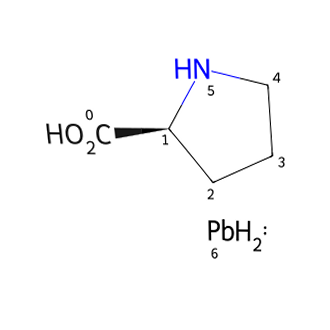 O=C(O)[C@@H]1CCCN1.[PbH2]